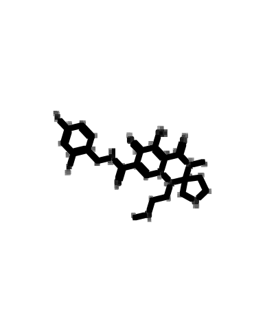 COCCN1n2cc(C(=O)NCc3ccc(F)cc3F)c(=O)c(O)c2C(=O)N(C)C12CCOC2